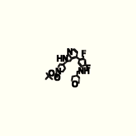 CC(C)(C)OC(=O)N1CC=C(c2cc3c(-c4cc(NCC5CCOCC5)c(F)cc4F)ccnc3[nH]2)CC1